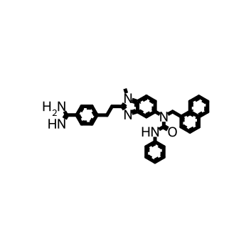 Cn1c(CCc2ccc(C(=N)N)cc2)nc2cc(N(Cc3cccc4ccccc34)C(=O)Nc3ccccc3)ccc21